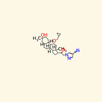 C[C@@]1(O)CC[C@H]2[C@H](CC[C@@H]3[C@@H]2[C@H](OCC2CC2)C[C@]2(C)[C@@H](C(=O)Cn4cc(C#N)cn4)CC[C@@H]32)C1